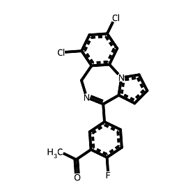 CC(=O)c1cc(C2=NCc3c(Cl)cc(Cl)cc3-n3cccc32)ccc1F